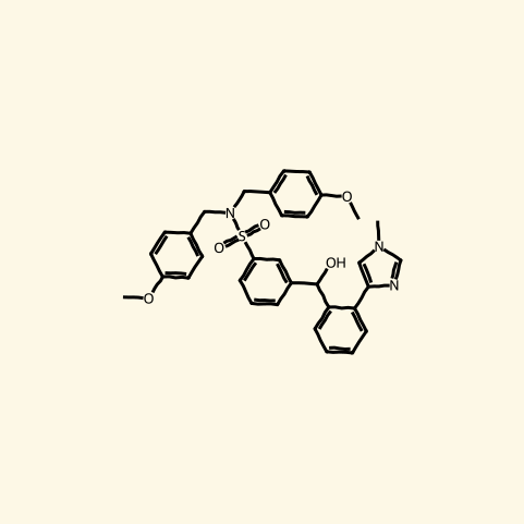 COc1ccc(CN(Cc2ccc(OC)cc2)S(=O)(=O)c2cccc(C(O)c3ccccc3-c3cn(C)cn3)c2)cc1